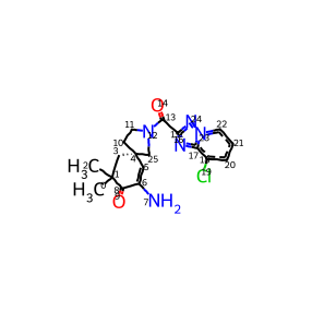 CC1(C)C[C@]2(C=C(N)C1=O)CCN(C(=O)c1nc3c(Cl)cccn3n1)C2